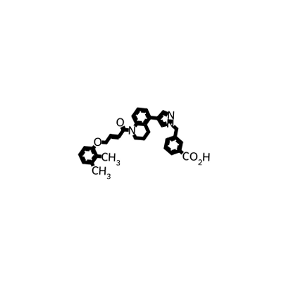 Cc1cccc(OC/C=C/C(=O)N2CCCc3c(-c4cnn(Cc5cccc(C(=O)O)c5)c4)cccc32)c1C